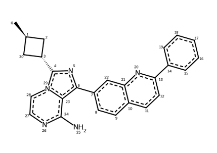 C[C@H]1C[C@H](c2nc(-c3ccc4ccc(-c5ccccc5)nc4c3)c3c(N)nccn32)C1